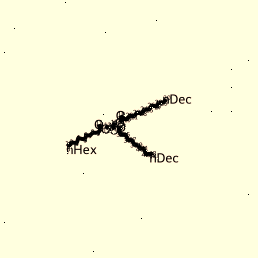 CCCCCC/C=C\CCCCCCCC(=O)OC[C@H](COC(=O)CCCCCCCCCCCCCCCCCCCCC)OC(=O)CCCCCCCCCCCCCCCCCCCC